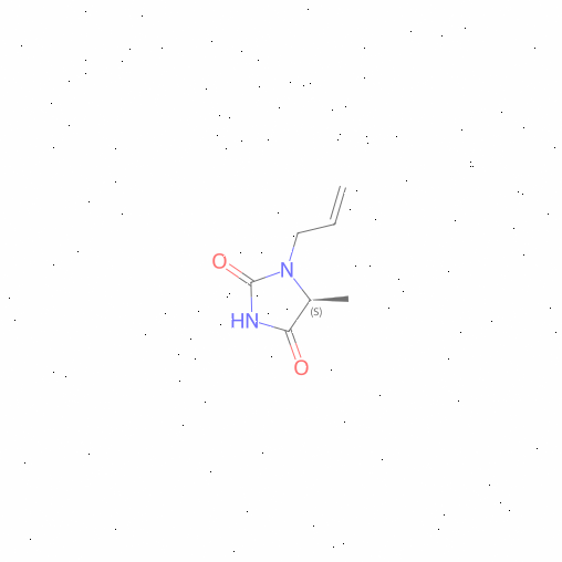 C=CCN1C(=O)NC(=O)[C@@H]1C